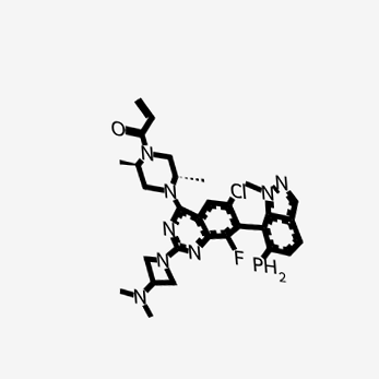 C=CC(=O)N1C[C@H](C)N(c2nc(N3CC(N(C)C)C3)nc3c(F)c(-c4c(P)ccc5cnn(C)c45)c(Cl)cc23)C[C@H]1C